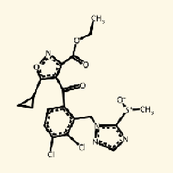 CCOC(=O)c1noc(C2CC2)c1C(=O)c1ccc(Cl)c(Cl)c1Cn1ncnc1[S+](C)[O-]